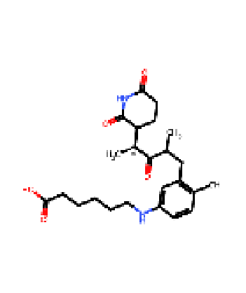 Cc1ccc(NCCCCCC(=O)O)cc1CC(C)C(=O)[C@@H](C)C1CCC(=O)NC1=O